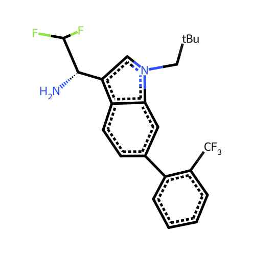 CC(C)(C)Cn1cc([C@H](N)C(F)F)c2ccc(-c3ccccc3C(F)(F)F)cc21